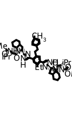 CCc1cc(-c2c[nH]c([C@@H]3CC4CCCCC4N3C(=O)[C@@H](NC(=O)OC)C(C)C)n2)c(CCc2ccc(C)cc2)cc1-c1c[nH]c([C@@H]2CC3CCCCC3N2C(=O)[C@@H](NC(=O)OC)C(C)C)n1